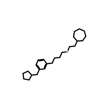 c1cc(CCCCOCCC2CCCCCC2)cc(CC2CCCC2)c1